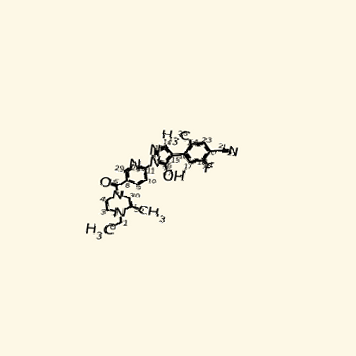 CCN1CCN(C(=O)c2ccc(-n3ncc(-c4cc(F)c(C#N)cc4C)c3O)nc2)CC1C